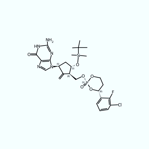 C=C1[C@H](CO[P@]2(=O)OCC[C@H](c3cccc(Cl)c3F)O2)[C@@H](O[Si](C)(C)C(C)(C)C)C[C@@H]1n1cnc2c(=O)[nH]c(N)nc21